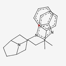 Cc1nc2ccccc2n1C1CC2CCC(C1)N2CCC(C)c1ccccc1